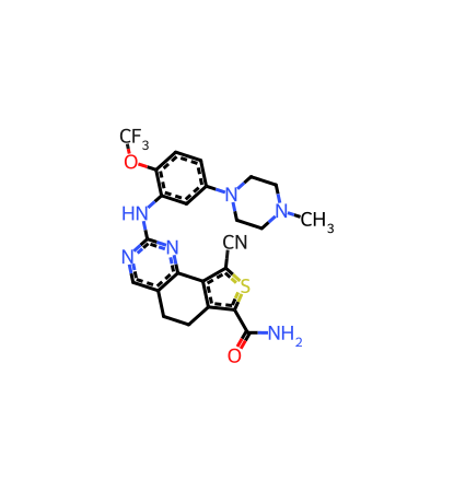 CN1CCN(c2ccc(OC(F)(F)F)c(Nc3ncc4c(n3)-c3c(C#N)sc(C(N)=O)c3CC4)c2)CC1